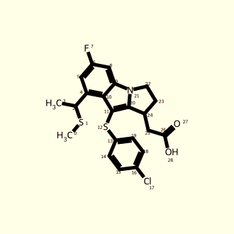 CSC(C)c1cc(F)cc2c1c(Sc1ccc(Cl)cc1)c1n2CCC1CC(=O)O